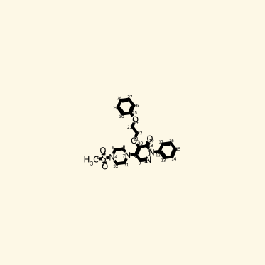 CS(=O)(=O)N1CCN(c2cnn(-c3ccccc3)c(=O)c2OCCOc2ccccc2)CC1